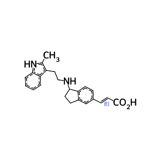 Cc1[nH]c2ccccc2c1CCNC1CCc2cc(/C=C/C(=O)O)ccc21